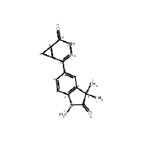 CN1C(=O)C(C)(C)c2cc(C3=NNC(=O)C4CC34)ccc21